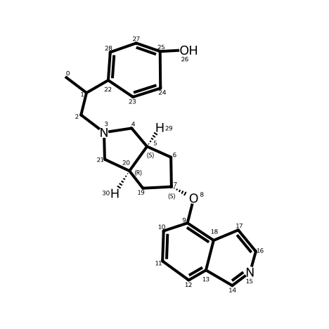 CC(CN1C[C@H]2C[C@H](Oc3cccc4cnccc34)C[C@H]2C1)c1ccc(O)cc1